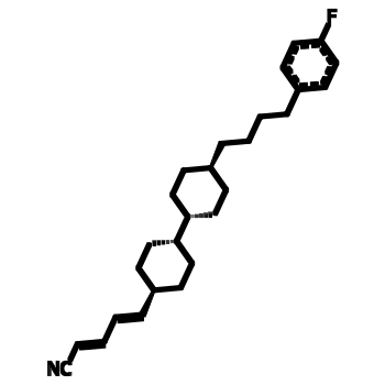 N#CC=CC=C[C@H]1CC[C@H]([C@H]2CC[C@H](CCCCc3ccc(F)cc3)CC2)CC1